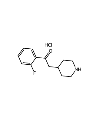 Cl.O=C(CC1CCNCC1)c1ccccc1F